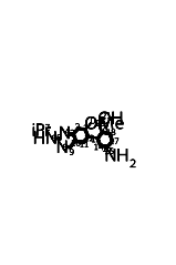 COc1cc2nc(NC(C)C)ncc2cc1-c1cc(N)ccc1CO